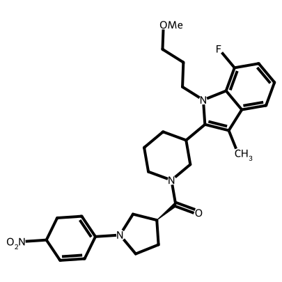 COCCCn1c(C2CCCN(C(=O)[C@H]3CCN(C4=CCC([N+](=O)[O-])C=C4)C3)C2)c(C)c2cccc(F)c21